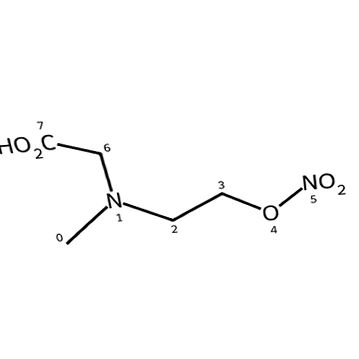 CN(CCO[N+](=O)[O-])CC(=O)O